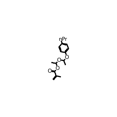 C=C(C)C(=O)OC(C)OC(C)Oc1ccc(CCC)cc1